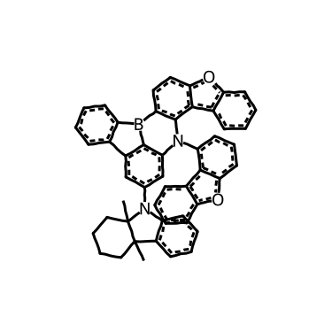 CC12CCCCC1(C)N(c1cc3c4c(c1)N(c1cccc5oc6ccccc6c15)c1c(ccc5oc6ccccc6c15)B4c1ccccc1-3)c1ccccc12